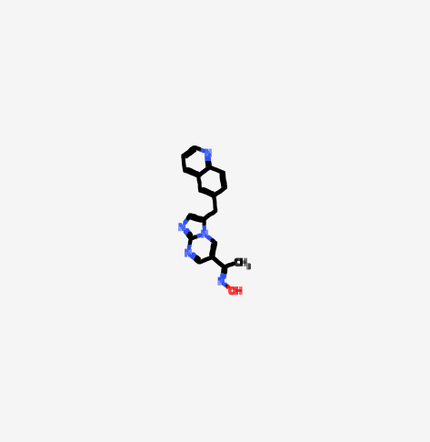 C/C(=N\O)c1cnc2ncc(Cc3ccc4ncccc4c3)n2c1